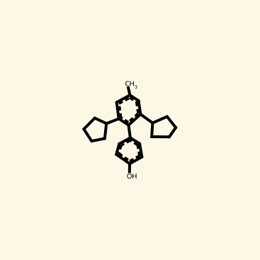 Cc1cc(C2CCCC2)c(-c2ccc(O)cc2)c(C2CCCC2)c1